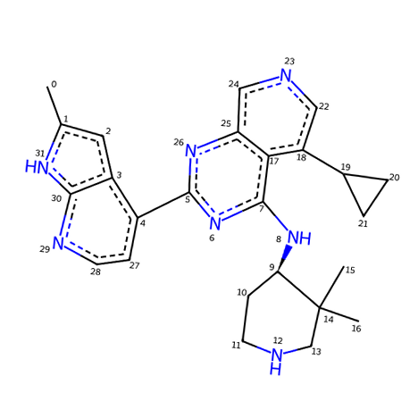 Cc1cc2c(-c3nc(N[C@@H]4CCNCC4(C)C)c4c(C5CC5)cncc4n3)ccnc2[nH]1